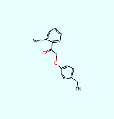 COc1ccccc1C(=O)COc1ccc(CC#N)cc1